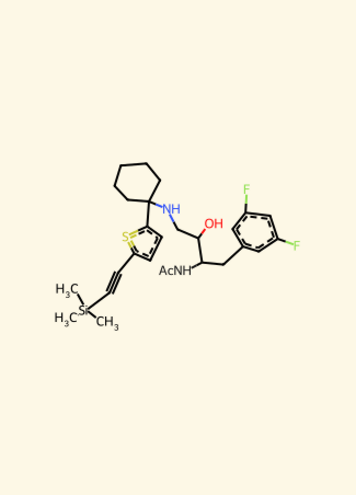 CC(=O)NC(Cc1cc(F)cc(F)c1)C(O)CNC1(c2ccc(C#C[Si](C)(C)C)s2)CCCCC1